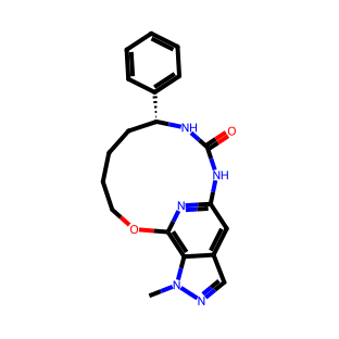 Cn1ncc2cc3nc(c21)OCCCC[C@H](c1ccccc1)NC(=O)N3